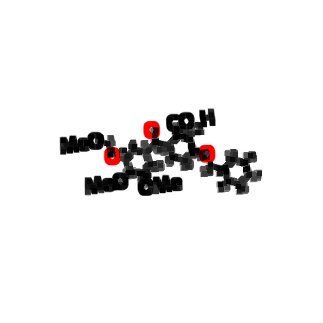 COCOc1cc(C(=O)c2ccc(OCc3ccccc3)cc2C(=O)O)cc(OC)c1OC